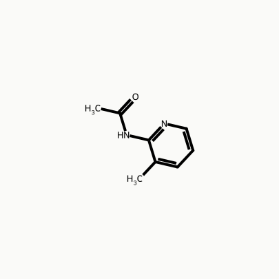 CC(=O)Nc1ncccc1C